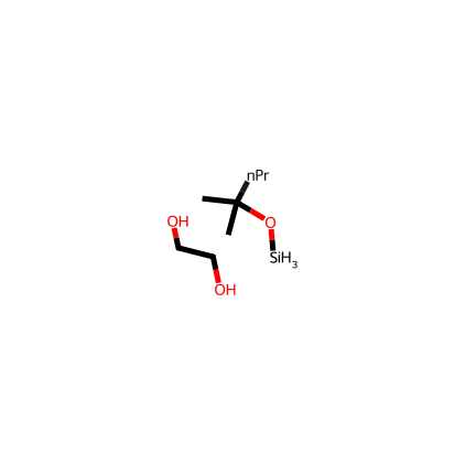 CCCC(C)(C)O[SiH3].OCCO